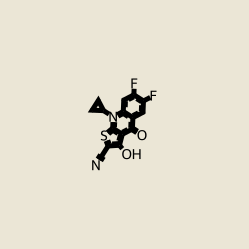 N#Cc1sc2c(c1O)c(=O)c1cc(F)c(F)cc1n2C1CC1